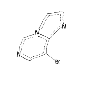 Brc1cncn2ccnc12